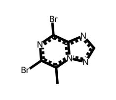 Cc1c(Br)nc(Br)c2ncnn12